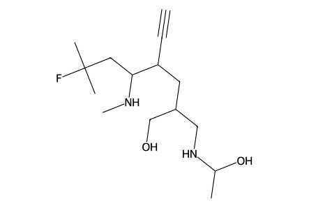 C#CC(CC(CO)CNC(C)O)C(CC(C)(C)F)NC